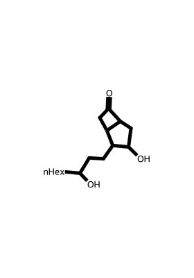 CCCCCCC(O)CCC1C(O)CC2C(=O)CC21